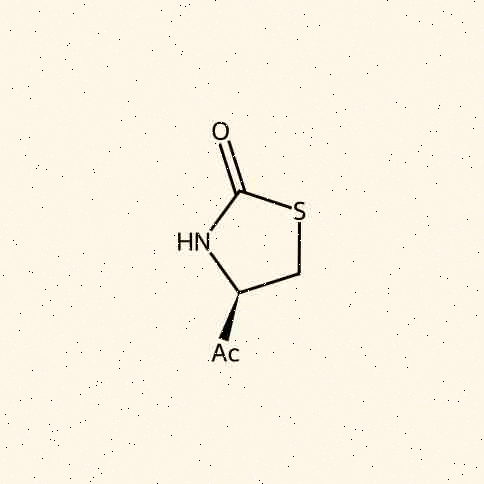 CC(=O)[C@@H]1CSC(=O)N1